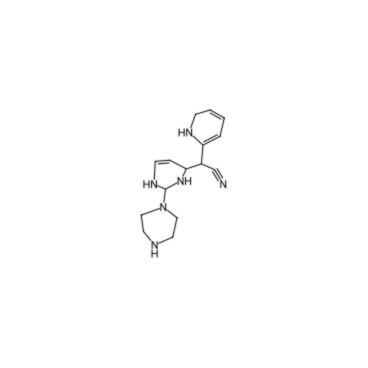 N#CC(C1=CC=CCN1)C1C=CNC(N2CCNCC2)N1